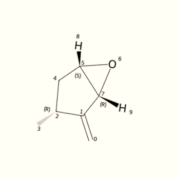 C=C1[C@H](C)C[C@@H]2O[C@H]12